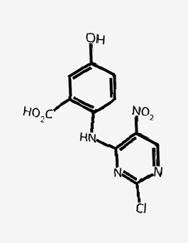 O=C(O)c1cc(O)ccc1Nc1nc(Cl)ncc1[N+](=O)[O-]